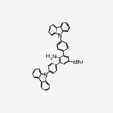 CC(C)(C)c1cc(-c2ccc(-n3c4ccccc4c4ccccc43)cc2)c(N)c(-c2ccc(-n3c4ccccc4c4ccccc43)cc2)c1